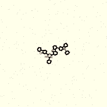 c1ccc(C2=NC(c3cccc4c3oc3cccc(-c5ccc6c(c5)c5ccccc5n6-c5ccccc5)c34)=NC(c3ccc4c(c3)oc3ccccc34)N2)cc1